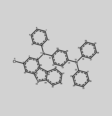 Clc1cc(N(c2ccccc2)c2ccc(N(c3ccccc3)c3ccccc3)cc2)c2c(c1)sc1ccccc12